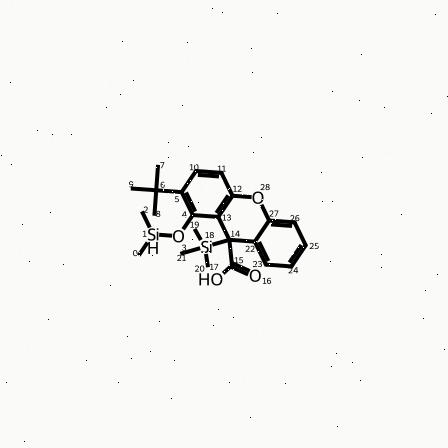 C[SiH](C)Oc1c(C(C)(C)C)ccc2c1C(C(=O)O)([Si](C)(C)C)c1ccccc1O2